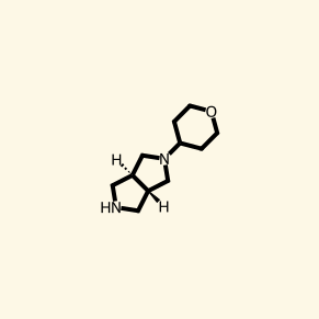 C1CC(N2C[C@@H]3CNC[C@H]3C2)CCO1